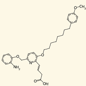 COc1ccc(CCCCCCCCOc2ccc(COc3ccccc3N)nc2C=CCC(=O)O)cc1